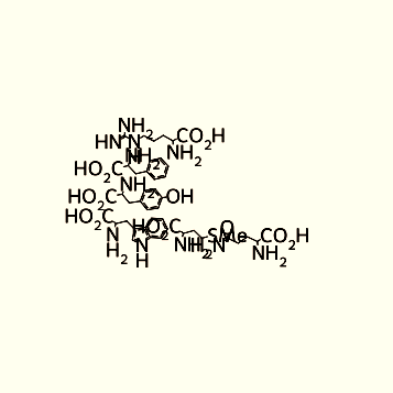 CSCCC(N)C(=O)O.N=C(N)NCCCC(N)C(=O)O.NC(=O)CCC(N)C(=O)O.NC(Cc1c[nH]c2ccccc12)C(=O)O.NC(Cc1ccc(O)cc1)C(=O)O.NC(Cc1ccccc1)C(=O)O